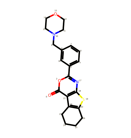 O=c1oc(-c2cccc(CN3CCOCC3)c2)nc2sc3c(c12)CCCC3